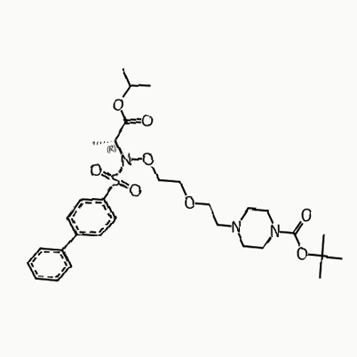 CC(C)OC(=O)[C@@H](C)N(OCCOCCN1CCN(C(=O)OC(C)(C)C)CC1)S(=O)(=O)c1ccc(-c2ccccc2)cc1